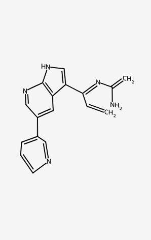 C=C/C(=N\C(=C)N)c1c[nH]c2ncc(-c3cccnc3)cc12